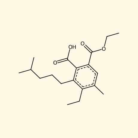 CCOC(=O)c1cc(C)c(CC)c(CCCC(C)C)c1C(=O)O